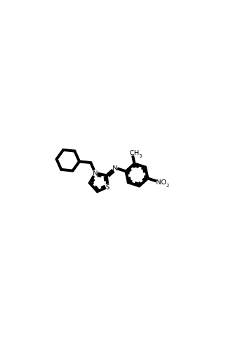 Cc1cc([N+](=O)[O-])ccc1N=c1sccn1CC1CCCCC1